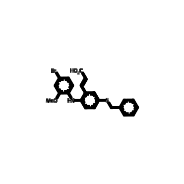 COc1cc(Br)ccc1Nc1ccc(SCc2ccccc2)cc1C=CC(=O)O